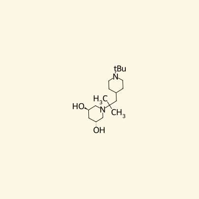 CC(C)(C)N1CCC(CC(C)(C)N2C[C@H](O)C[C@@H](O)C2)CC1